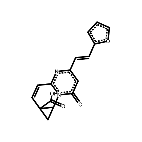 O=C(O)C12C=Cc3nc(/C=C/c4ccco4)cc(=O)n3C1C2